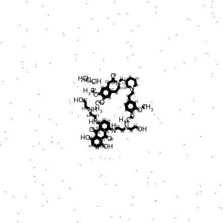 COc1ccc(CCN2CCC[C@H](CN3CCc4cc(OC)c(OC)cc4CC3=O)C2)cc1OC.Cl.Cl.Cl.O=C1c2c(O)ccc(O)c2C(=O)c2c(NCCNCCO)ccc(NCCNCCO)c21